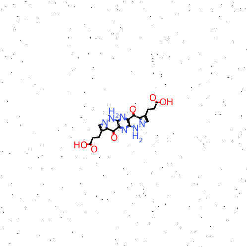 Nc1nc(C(=O)C2=NC=C2CCC(=O)O)c(N)nc1C(=O)C1=NC=C1CCC(=O)O